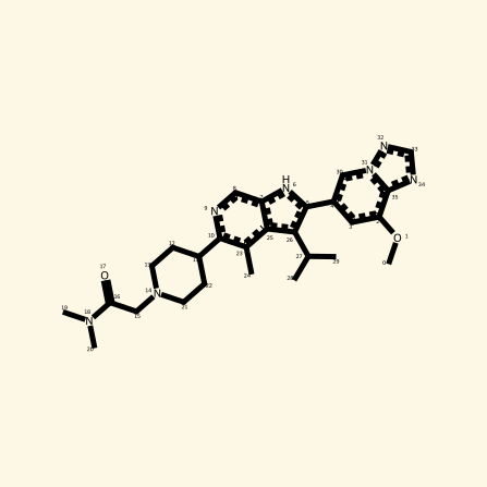 COc1cc(-c2[nH]c3cnc(C4CCN(CC(=O)N(C)C)CC4)c(C)c3c2C(C)C)cn2ncnc12